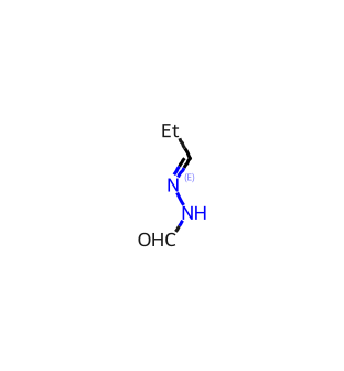 CC/C=N/NC=O